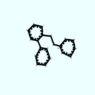 [CH](Cc1ccccc1-c1ccccc1)c1ccccc1